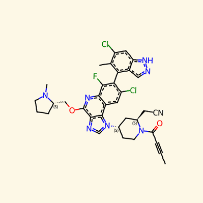 CC#CC(=O)N1CC[C@H](n2cnc3c(OC[C@@H]4CCCN4C)nc4c(F)c(-c5c(C)c(Cl)cc6[nH]ncc56)c(Cl)cc4c32)C[C@H]1CC#N